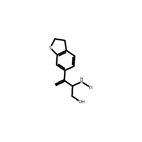 C=C(c1ccc2c(c1)SCC2)C(CO)NCC